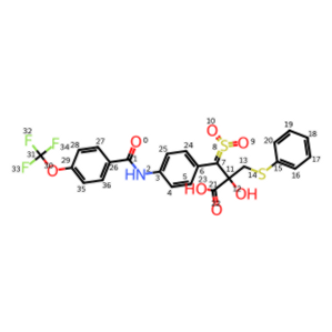 O=C(Nc1ccc(C(=S(=O)=O)C(O)(CSc2ccccc2)C(=O)O)cc1)c1ccc(OC(F)(F)F)cc1